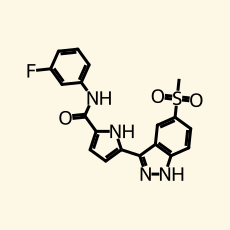 CS(=O)(=O)c1ccc2[nH]nc(-c3ccc(C(=O)Nc4cccc(F)c4)[nH]3)c2c1